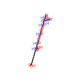 O=C(O)CCCCCCCCCCCCCCCCC(=O)N[C@@H](CCCCNC(=O)CCOCCOCCNC(=O)CCOCCOCCNC(=O)CCC(=O)N(CCNC(=O)CBr)CCNC(=O)CBr)C(=O)O